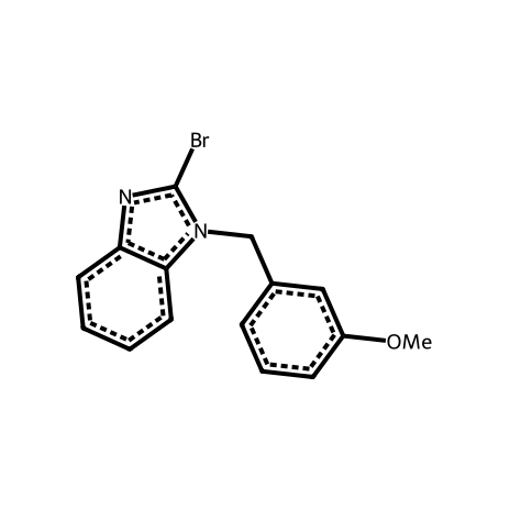 COc1cccc(Cn2c(Br)nc3ccccc32)c1